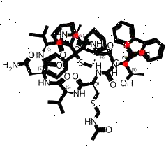 CC(=O)NCSC[C@H](NC(=O)OCC1c2ccccc2-c2ccccc21)C(=O)N[C@H](C(=O)N[C@@H](CC(N)=O)C(=O)N[C@H](C(=O)N[C@@H](C)C(=O)N[C@@H](CSC(c1ccccc1)(c1ccccc1)c1ccccc1)C(=O)N[C@H](C(=O)O)[C@@H](C)O)C(C)C)C(C)C